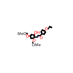 C=CCOc1ccc(C(=O)/C=C/c2c(O)cc(OCOC)cc2OCOC)cc1